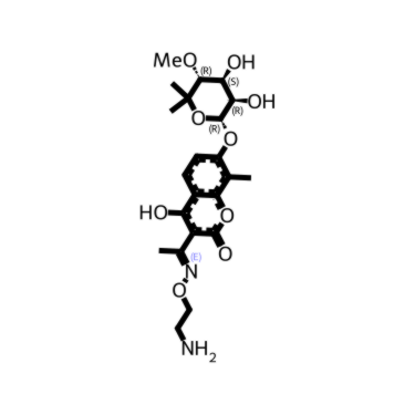 CO[C@@H]1[C@@H](O)[C@@H](O)[C@H](Oc2ccc3c(O)c(/C(C)=N/OCCN)c(=O)oc3c2C)OC1(C)C